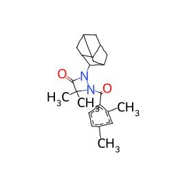 Cc1ccc(C(=O)N2N(C3C4CC5CC(C4)CC3C5)C(=O)C2(C)C)c(C)c1